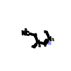 C/N=C\N(C)CC#N